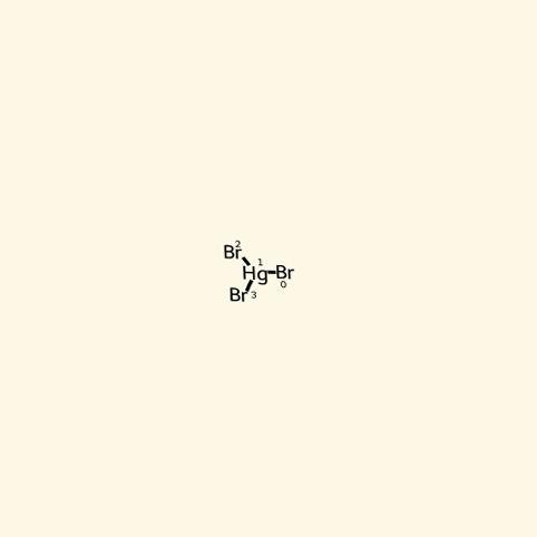 [Br][Hg]([Br])[Br]